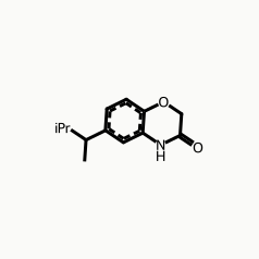 CC(C)C(C)c1ccc2c(c1)NC(=O)CO2